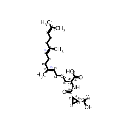 CC(C)=CCC/C(C)=C/CC/C(C)=C/CSC[C@H](NC(=O)[C@H]1C[C@H]1C(=O)O)C(=O)O